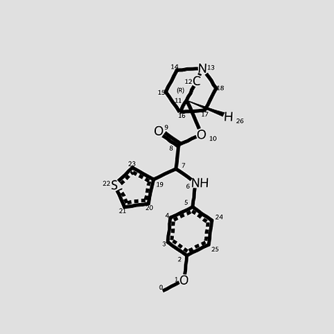 COc1ccc(NC(C(=O)O[C@H]2CN3CCC2CC3)c2ccsc2)cc1